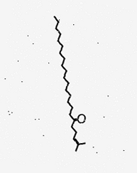 CCCCCCCCCCCCCCCCCC(=O)CCC=C(C)C